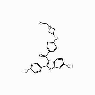 CC(C)CN1CC(Oc2ccc(C(=O)c3c(-c4ccc(O)cc4)sc4cc(O)ccc34)cc2)C1